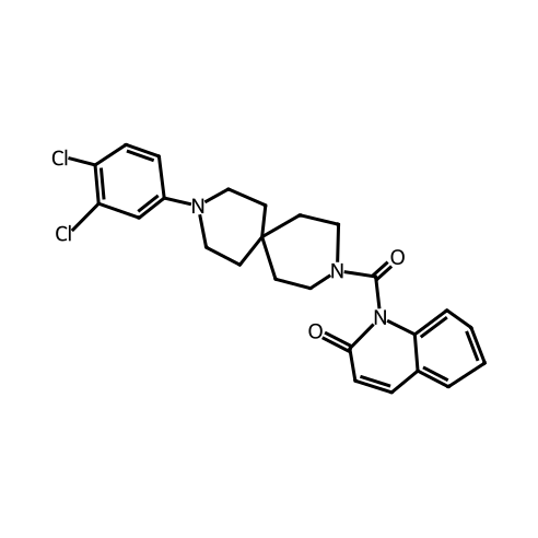 O=C(N1CCC2(CC1)CCN(c1ccc(Cl)c(Cl)c1)CC2)n1c(=O)ccc2ccccc21